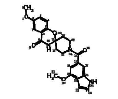 COc1ccc2c(c1)C(=O)NC1(CCN(C(=O)c3cc(OC)c4cn[nH]c4c3)CC1)O2